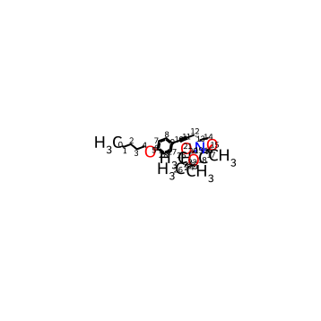 CCCCCOc1ccc(C#CC[C@@H]2COC(C)(C)N2C(=O)OC(C)(C)C)cc1